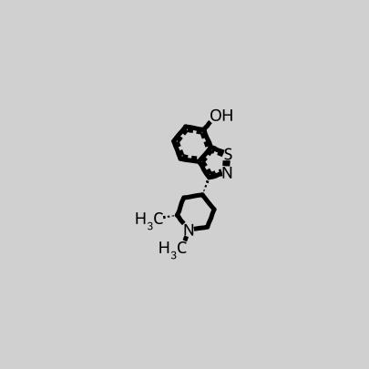 C[C@@H]1C[C@H](c2nsc3c(O)cccc23)CCN1C